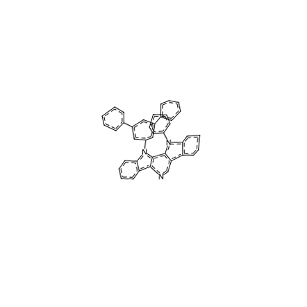 c1ccc(-c2cc(-c3ccccc3)cc(-n3c4ccccc4c4ncc5c6ccccc6n(-c6ccccc6)c5c43)c2)cc1